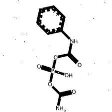 NC(=O)OP(=O)(O)OC(=O)Nc1ccccc1